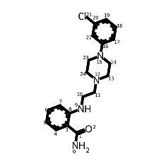 NC(=O)c1ccccc1NCCN1CCN(c2cccc(Cl)c2)CC1